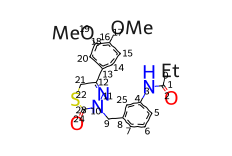 CCC(=O)Nc1cccc(CN2N=C(c3ccc(OC)c(OC)c3)CSC2=O)c1